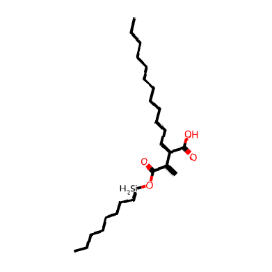 C=C(C(=O)O[SiH2]CCCCCCCC)C(CCCCCCCCCCCC)C(=O)O